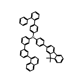 CC1(C)c2ccccc2-c2ccc(-c3ccc(N(c4ccc(-c5ccccc5-c5ccccc5)cc4)c4cccc(-c5cccc(-c6cccc7ccccc67)c5)c4)cc3)cc21